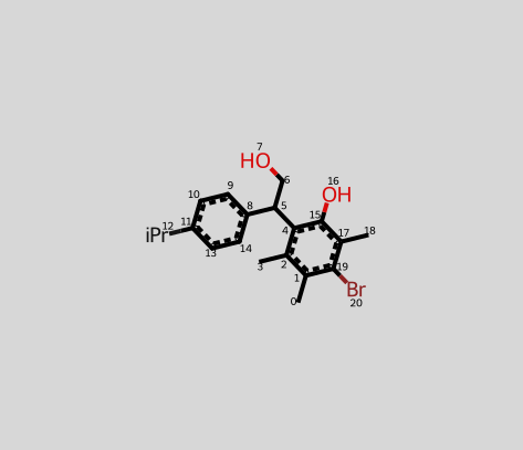 Cc1c(C)c(C(CO)c2ccc(C(C)C)cc2)c(O)c(C)c1Br